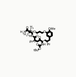 COc1ccc(C[C@@H](C[C@H](NC(=O)OC(C)(C)C)C(=O)C[C@H](C(=O)NCC(C)(C)C(N)=O)C(C)C)C(C)C)cc1OCCCO